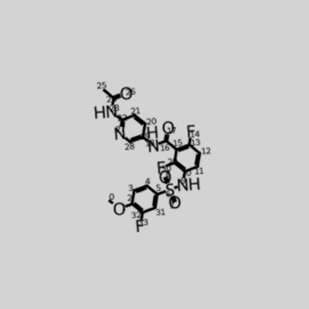 COc1ccc(S(=O)(=O)Nc2ccc(F)c(C(=O)Nc3ccc(NC(C)=O)nc3)c2F)cc1F